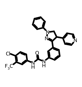 O=C(Nc1cccc(C2=NN(c3ccccc3)CC2c2ccncc2)c1)Nc1ccc(Cl)c(C(F)(F)F)c1